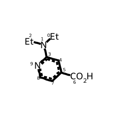 CCN(CC)c1cc(C(=O)O)ccn1